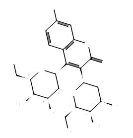 O=c1oc2cc(O)ccc2c([C@@H]2O[C@H](CO)[C@H](O)[C@H](O)[C@H]2O)c1[C@@H]1O[C@H](CO)[C@H](O)[C@H](O)[C@H]1O